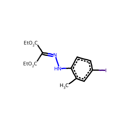 CCOC(=O)C(=NNc1ccc(I)cc1C)C(=O)OCC